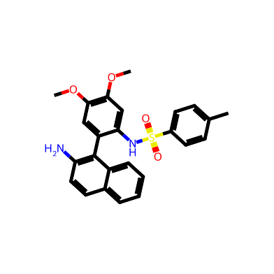 COc1cc(NS(=O)(=O)c2ccc(C)cc2)c(-c2c(N)ccc3ccccc23)cc1OC